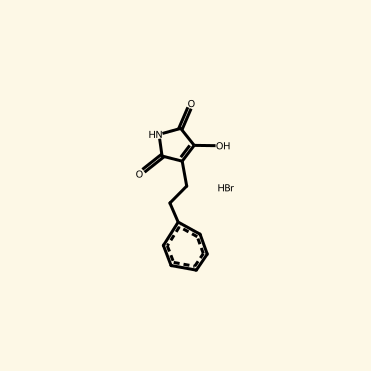 Br.O=C1NC(=O)C(CCc2ccccc2)=C1O